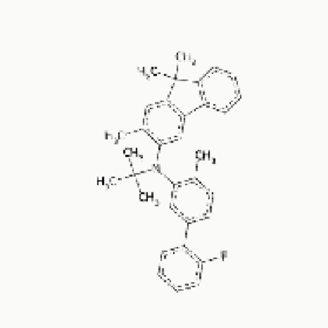 Cc1ccc(-c2ccccc2F)cc1N(c1cc2c(cc1C)C(C)(C)c1ccccc1-2)C(C)(C)C